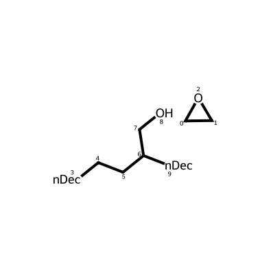 C1CO1.CCCCCCCCCCCCC(CO)CCCCCCCCCC